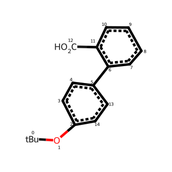 CC(C)(C)Oc1ccc(-c2ccccc2C(=O)O)cc1